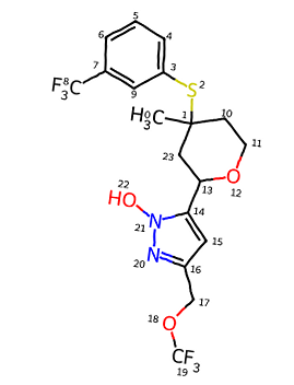 CC1(Sc2cccc(C(F)(F)F)c2)CCOC(c2cc(COC(F)(F)F)nn2O)C1